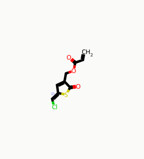 C=CC(=O)OCC1=C/C(=C/Cl)SC1=O